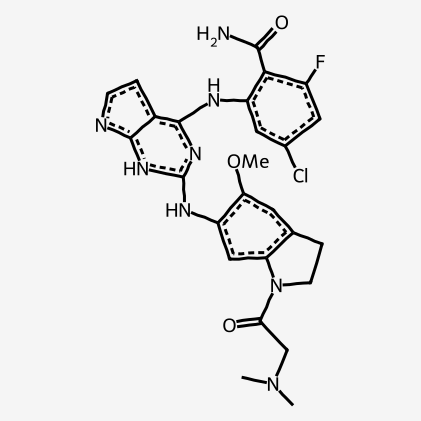 COc1cc2c(cc1Nc1nc(Nc3cc(Cl)cc(F)c3C(N)=O)c3ccnc-3[nH]1)N(C(=O)CN(C)C)CC2